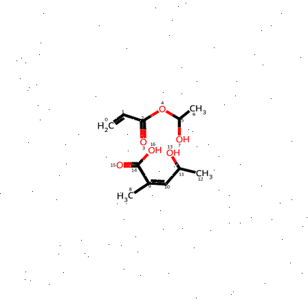 C=CC(=O)OC(C)O.CC(=CC(C)O)C(=O)O